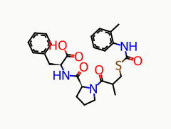 Cc1ccccc1NC(=O)SCC(C)C(=O)N1CCC[C@H]1C(=O)N[C@@H](Cc1ccccc1)C(=O)O